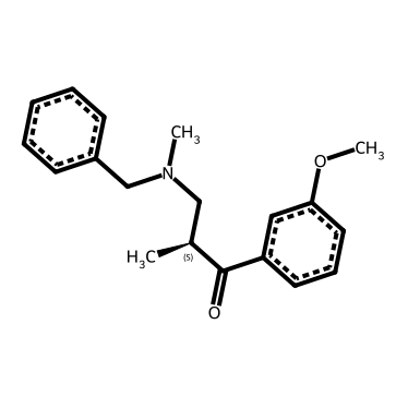 COc1cccc(C(=O)[C@@H](C)CN(C)Cc2ccccc2)c1